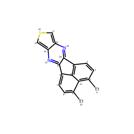 CCc1ccc2c3c(ccc(CC)c13)-c1nc3cscc3nc1-2